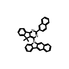 CC1(C)c2ccccc2-c2nc(-c3ccc4ccccc4c3)nc(-n3c4ccccc4c4cc5ccccc5cc43)c21